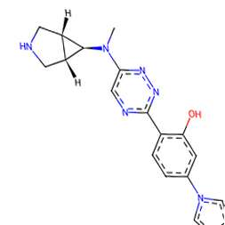 CN(c1cnc(-c2ccc(-n3ccnc3)cc2O)nn1)[C@H]1[C@@H]2CNC[C@@H]21